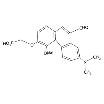 COc1c(OCC(=O)O)ccc(C=CC=O)c1-c1ccc(N(C)C)cc1